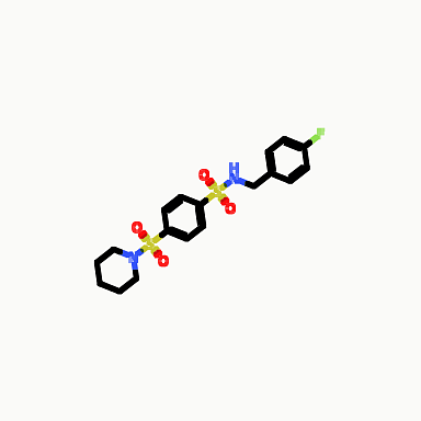 O=S(=O)(NCc1ccc(F)cc1)c1ccc(S(=O)(=O)N2CCCCC2)cc1